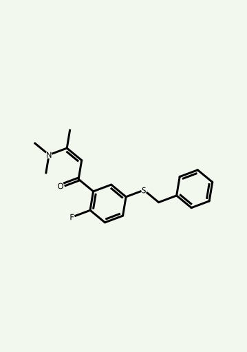 C/C(=C/C(=O)c1cc(SCc2ccccc2)ccc1F)N(C)C